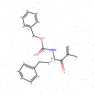 C=C(C)C(=O)[C@H](CCc1ccccc1)NC(=O)OCc1ccccc1